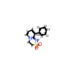 O=S1(=O)CCN2C=CC=C(c3ccccc3)C2=N1